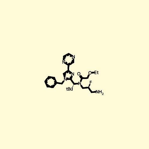 CCOCC(=O)N(C[C@@H](F)CN)[C@@H](c1nc(-c2cnccn2)cn1Cc1ccccc1)C(C)(C)C